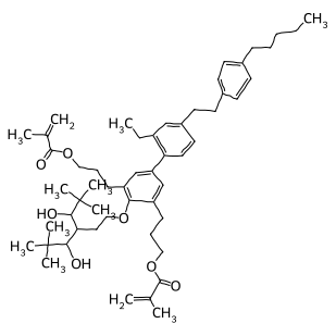 C=C(C)C(=O)OCCCc1cc(-c2ccc(CCc3ccc(CCCCC)cc3)cc2CC)cc(CCCOC(=O)C(=C)C)c1OCCC(C(O)C(C)(C)C)C(O)C(C)(C)C